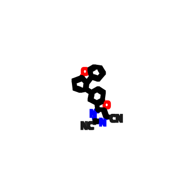 N#Cc1nc(C#N)c2oc3ccc(-c4cccc5oc6ccccc6c45)cc3c2n1